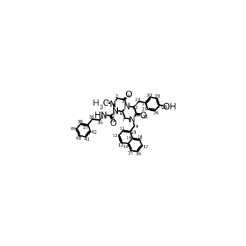 CN1CC(=O)N2C(CN(Cc3cccc4ccccc34)C(=O)[C@@H]2Cc2ccc(O)cc2)N1C(=O)NCCc1ccccc1